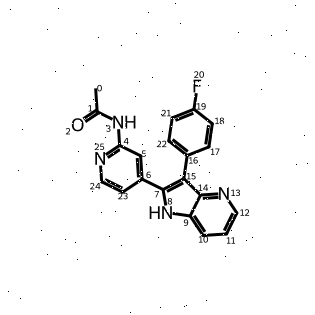 CC(=O)Nc1cc(-c2[nH]c3cccnc3c2-c2ccc(F)cc2)ccn1